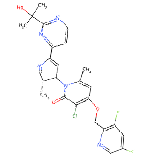 Cc1cc(OCc2ncc(F)cc2F)c(Cl)c(=O)n1C1C=C(c2ccnc(C(C)(C)O)n2)N=C[C@H]1C